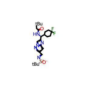 CC(C)(C)CC(=O)N[C@H](c1cn2ncc(/C=N/[S@+]([O-])C(C)(C)C)cc2n1)C1CCC(F)(F)CC1